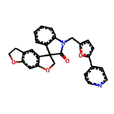 O=C1N(Cc2ccc(-c3ccncc3)o2)c2ccccc2C12COc1cc3c(cc12)CCO3